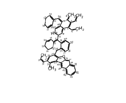 C=CC(C=C)=C(C=C)C1=CC(/C(=C2\C=CCCC2)c2ccccc2Cc2cc(/C=C\C)c(C)c3c2oc2cc4ccccc4cc23)NC=C1/C=C\C1=CCCC=C1